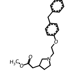 COC(=O)CC1CCN(CCOc2ccc(Cc3ccccc3)cc2)C1